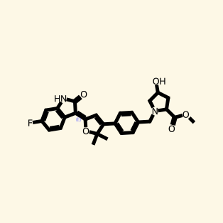 COC(=O)C1CC(O)CN1Cc1ccc(C2=C/C(=C3\C(=O)Nc4cc(F)ccc43)OC2(C)C)cc1